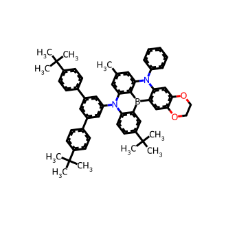 Cc1cc2c3c(c1)N(c1ccccc1)c1cc4c(cc1B3c1cc(C(C)(C)C)ccc1N2c1cc(-c2ccc(C(C)(C)C)cc2)cc(-c2ccc(C(C)(C)C)cc2)c1)OCCO4